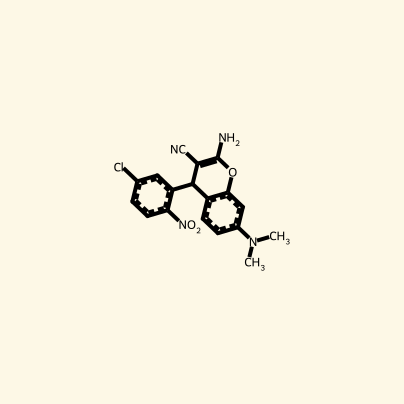 CN(C)c1ccc2c(c1)OC(N)=C(C#N)C2c1cc(Cl)ccc1[N+](=O)[O-]